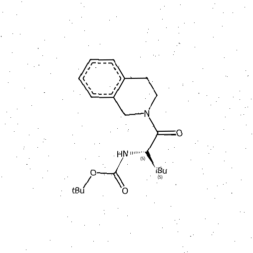 CC[C@H](C)[C@H](NC(=O)OC(C)(C)C)C(=O)N1CCc2ccccc2C1